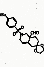 CC(C)(C)c1ccc(S(=O)(=O)N2CC=C3CC4(CCC3(C=O)C2)OCCO4)cc1